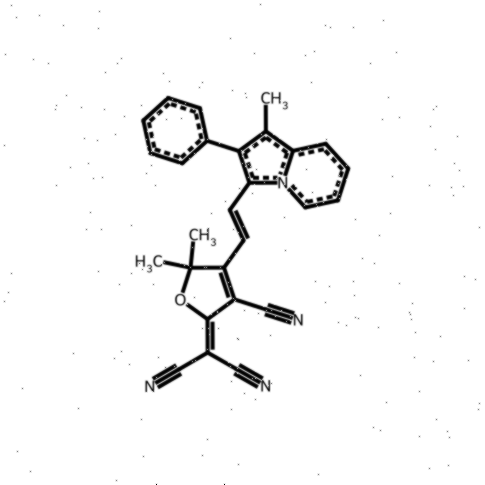 Cc1c(-c2ccccc2)c(/C=C/C2=C(C#N)C(=C(C#N)C#N)OC2(C)C)n2ccccc12